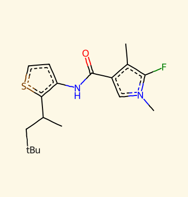 Cc1c(C(=O)Nc2ccsc2C(C)CC(C)(C)C)cn(C)c1F